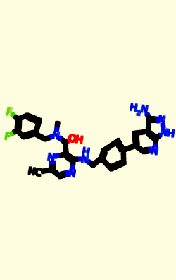 CN(Cc1ccc(F)c(F)c1)C(O)c1nc(C#N)cnc1NCc1ccc(-c2cnc3[nH]nc(N)c3c2)cc1